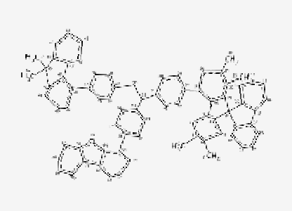 Cc1cc2c(cc1C)C1(c3ccccc3-c3ccccc31)c1c(C)c(C)cc(-c3ccc(C(Cc4ccc(-c5cccc6c5-c5ccccc5C6(C)C)cc4)c4ccc(-c5cccc6c5oc5ccccc56)cc4)cc3)c1-2